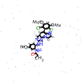 C=CC(=O)Nc1cc(C#N)ccc1Nc1ncc2cc(-c3c(Cl)c(OC)cc(OC)c3Cl)c3nccn3c2n1